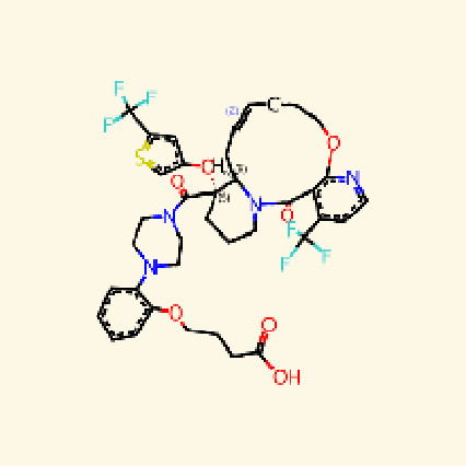 O=C(O)CCCOc1ccccc1N1CCN(C(=O)[C@]2(Oc3csc(C(F)(F)F)c3)CCCN3C(=O)c4c(C(F)(F)F)ccnc4OCCC/C=C\C[C@@H]32)CC1